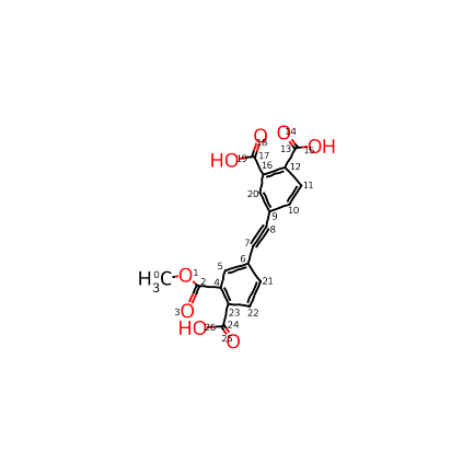 COC(=O)c1cc(C#Cc2ccc(C(=O)O)c(C(=O)O)c2)ccc1C(=O)O